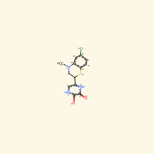 CN1CC(c2c[nH]c(=O)c(=O)[nH]2)Sc2ccc(Cl)cc21